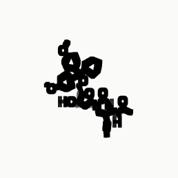 CC#Cc1cn([C@H]2C[C@H](O)[C@@H](COC(c3ccccc3)(c3ccc(OC)cc3)c3ccc(OC)cc3)O2)c(=O)nc1NC(C)=O